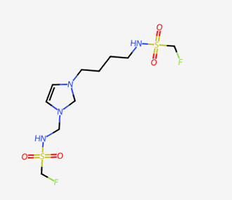 O=S(=O)(CF)NCCCCN1C=CN(CNS(=O)(=O)CF)C1